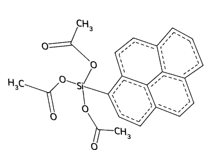 CC(=O)O[Si](OC(C)=O)(OC(C)=O)c1ccc2ccc3cccc4ccc1c2c34